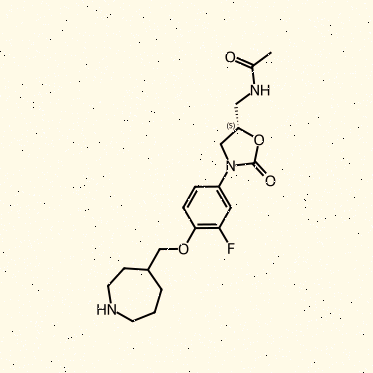 CC(=O)NC[C@H]1CN(c2ccc(OCC3CCCNCC3)c(F)c2)C(=O)O1